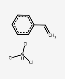 C=Cc1ccccc1.Cl[SiH](Cl)Cl